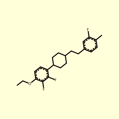 CCOc1ccc(C2CCC(CCc3ccc(C)c(F)c3)CC2)c(F)c1F